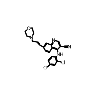 N#Cc1cnc2cc(C=CCN3CCOCC3)ccc2c1Nc1ccc(Cl)cc1Cl